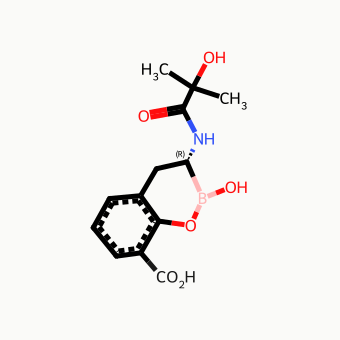 CC(C)(O)C(=O)N[C@H]1Cc2cccc(C(=O)O)c2OB1O